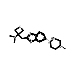 C[C@H]1CC[C@H](c2ccc3sc(CC4(N(C)C)COC4)nc3c2)NC1